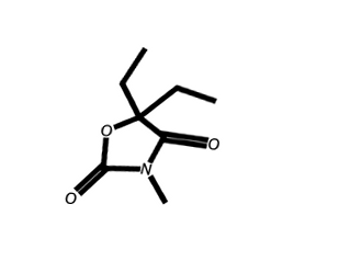 CCC1(CC)OC(=O)N(C)C1=O